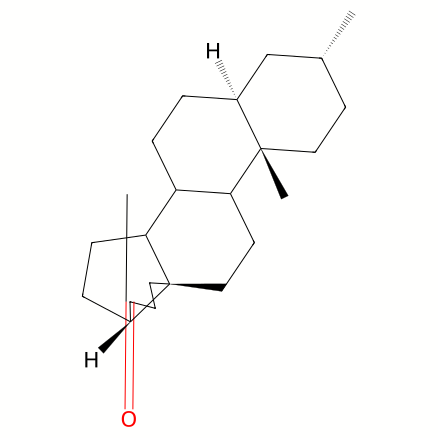 C[C@@H]1CC[C@]2(C)C3CC[C@]45CCC(=O)[C@H]4CCC5C3CC[C@H]2C1